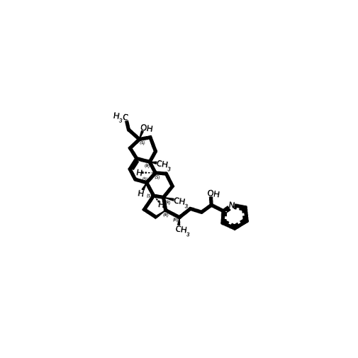 CC[C@]1(O)CC[C@@]2(C)C(=CC[C@H]3[C@@H]4CC[C@H]([C@H](C)CCC(O)c5ccccn5)[C@@]4(C)CC[C@@H]32)C1